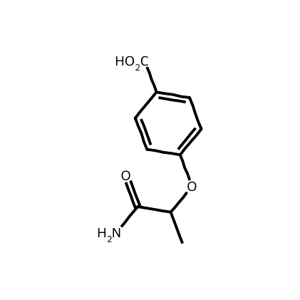 CC(Oc1ccc(C(=O)O)cc1)C(N)=O